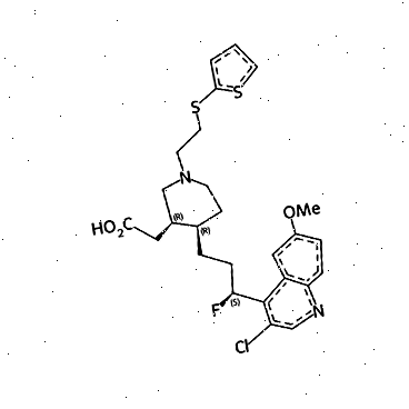 COc1ccc2ncc(Cl)c([C@@H](F)CC[C@@H]3CCN(CCSc4cccs4)C[C@@H]3CC(=O)O)c2c1